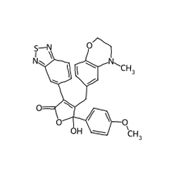 COc1ccc(C2(O)OC(=O)C(c3ccc4nsnc4c3)=C2Cc2ccc3c(c2)N(C)CCO3)cc1